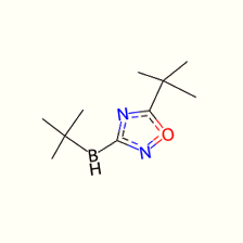 CC(C)(C)Bc1noc(C(C)(C)C)n1